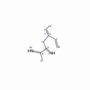 C=C/C(=C\C)CC(=N)C(C)=N